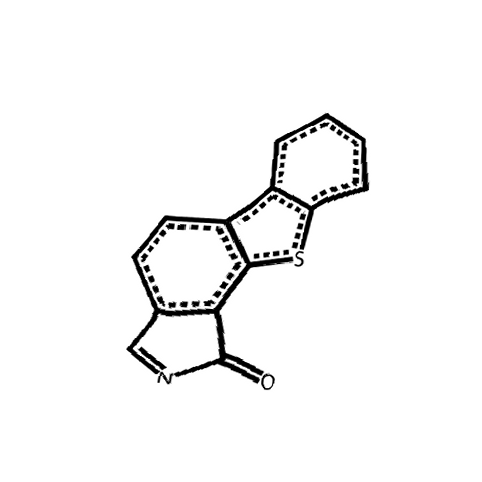 O=C1N=Cc2ccc3c(sc4ccccc43)c21